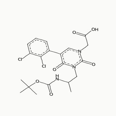 CC(Cn1c(=O)c(-c2cccc(Cl)c2Cl)cn(CC(=O)O)c1=O)NC(=O)OC(C)(C)C